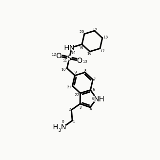 NCCc1c[nH]c2ccc(CS(=O)(=O)NC3CCCCC3)cc12